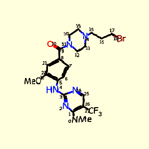 CNc1nc(Nc2ccc(C(=O)N3CCN(CCCBr)CC3)cc2OC)ncc1C(F)(F)F